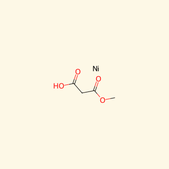 COC(=O)CC(=O)O.[Ni]